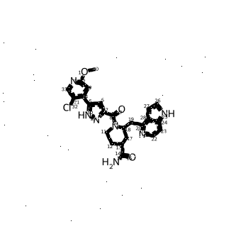 COc1cc(-c2cc(C(=O)N3CCC(C(N)=O)CC3Cc3nccc4[nH]ccc34)n[nH]2)c(Cl)cn1